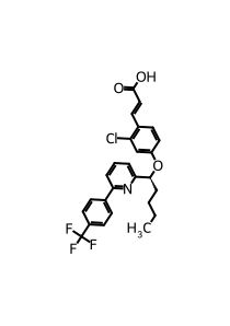 CCCC[C@H](Oc1ccc(C=CC(=O)O)c(Cl)c1)c1cccc(-c2ccc(C(F)(F)F)cc2)n1